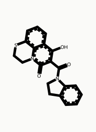 O=C(c1c(O)c2cccc3c2n(c1=O)CCS3)N1CCc2ccccc21